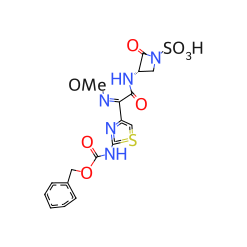 CON=C(C(=O)N[C@H]1CN(S(=O)(=O)O)C1=O)c1csc(NC(=O)OCc2ccccc2)n1